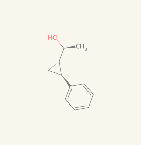 C[C@H](O)[C@H]1C[C@@H]1c1ccccc1